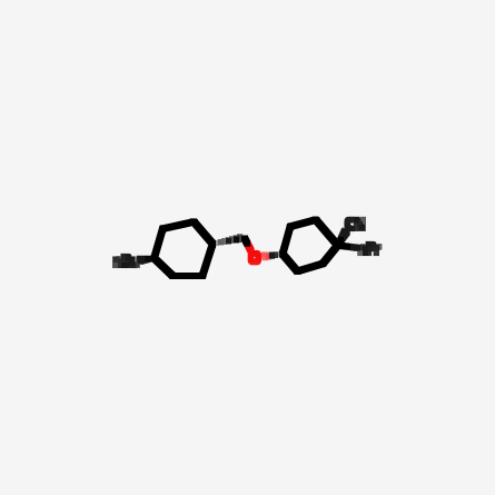 CCCC[C@H]1CC[C@H](CO[C@H]2CC[C@@](C#N)(CCC)CC2)CC1